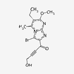 CCc1c(OC)nc2nc(C(=O)C#CCO)c(Br)n2c1C